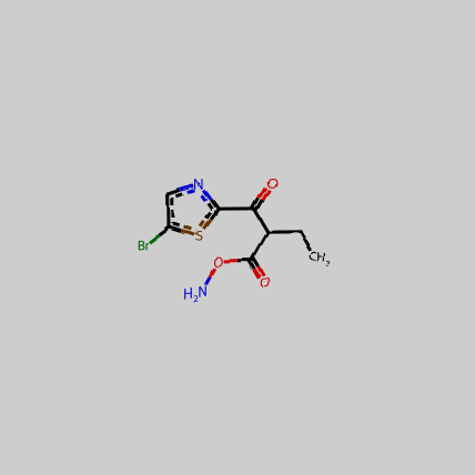 CCC(C(=O)ON)C(=O)c1ncc(Br)s1